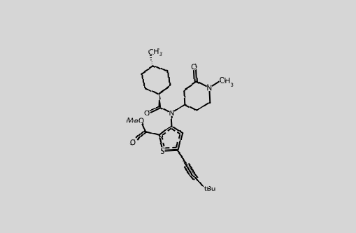 COC(=O)c1sc(C#CC(C)(C)C)cc1N(C(=O)[C@H]1CC[C@H](C)CC1)C1CCN(C)C(=O)C1